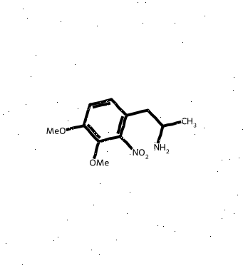 COc1ccc(CC(C)N)c([N+](=O)[O-])c1OC